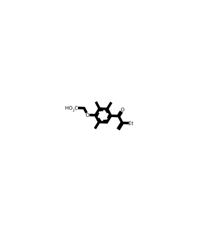 C=C(CC)C(=O)c1cc(C)c(OCC(=O)O)c(C)c1C